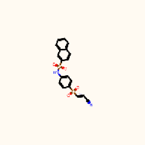 N#C/C=C/S(=O)(=O)c1ccc(NS(=O)(=O)c2ccc3ccccc3c2)cc1